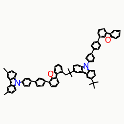 Cc1ccc2c(c1)c1cc(C)ccc1n2-c1ccc(-c2ccc(-c3cccc4c3oc3cccc(CC(C)(C)c5ccc6c(c5)c5cc(C(C)(C)C)ccc5n6-c5ccc(-c6ccc(-c7cccc8c7oc7ccccc78)cc6)cc5)c34)cc2)cc1